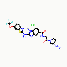 Cl.Cn1c(Nc2nc3ccc(OC(F)(F)F)cc3s2)nc2cc(C(=O)NCC(=O)N3CC[C@H](N)C3)ccc21